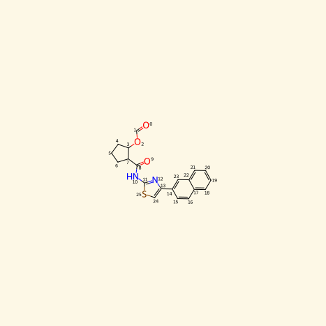 O=COC1CCCC1C(=O)Nc1nc(-c2ccc3ccccc3c2)cs1